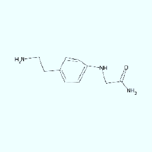 NCCc1ccc(NCC(N)=O)cc1